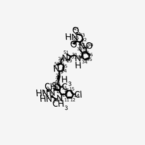 CC(=N)N1C(=N)[C@H](C)N=C(c2ccc(Cl)cc2)c2c1sc(C#Cc1ccc(CN3CC(CNc4cccc5c4CN(C4CCC(=O)NC4=O)C5=O)C3)cn1)c2C